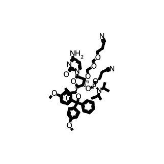 COc1ccc(C(OC(C(C)=O)[C@H]2O[C@@H](n3ccc(N)nc3=O)[C@H](OCOCOCCC#N)[C@@H]2OP(OCCC#N)N(C(C)C)C(C)C)(c2ccccc2)c2ccc(OC)cc2)cc1